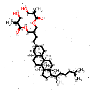 C=C(CO)C(=O)OCC(CC[C@H]1CC[C@@]2(C)[C@@H](CC[C@@H]3[C@@H]2CC[C@]2(C)[C@@H]([C@H](C)CCCC(C)C)CC[C@@H]32)C1)COC(=O)C(=C)CO